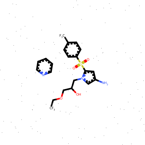 Nc1cc(S(=O)(=O)c2ccc(C(F)(F)F)cc2)n(CC(O)COCC(F)(F)F)c1.c1ccncc1